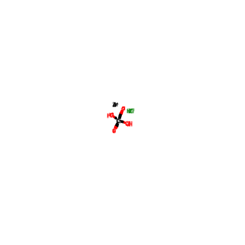 Cl.[O]=[Cr](=[O])([OH])[OH].[Zn]